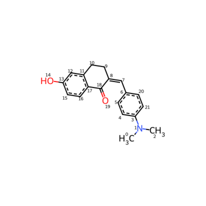 CN(C)c1ccc(C=C2CCc3cc(O)ccc3C2=O)cc1